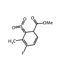 COC(=O)C1C=CC(F)=C(C)C1=S(=O)=O